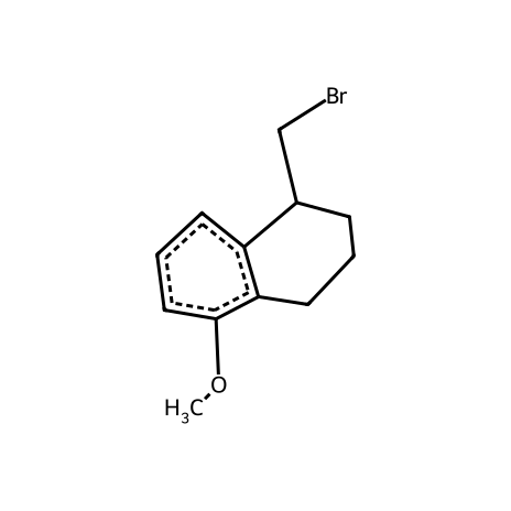 COc1cccc2c1CCCC2CBr